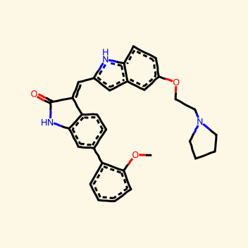 COc1ccccc1-c1ccc2c(c1)NC(=O)/C2=C/c1cc2cc(OCCN3CCCC3)ccc2[nH]1